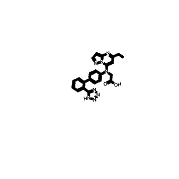 CCc1cc(N(CC(=O)O)c2ccc(-c3ccccc3-c3nnn[nH]3)cc2)n2nccc2n1